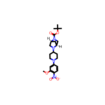 COc1cc(N2CCC(N3C[C@@H]4C[C@H]3CN4C(=O)OC(C)(C)C)CC2)ccc1[N+](=O)[O-]